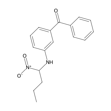 CCCC(Nc1cccc(C(=O)c2ccccc2)c1)[N+](=O)[O-]